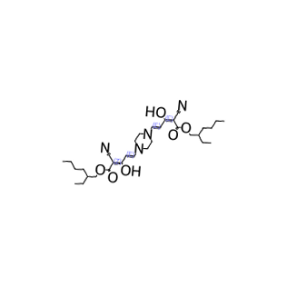 CCCCC(CC)COC(=O)/C(C#N)=C(O)/C=C/N1CCN(/C=C/C(O)=C(/C#N)C(=O)OCC(CC)CCCC)CC1